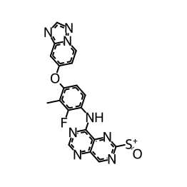 Cc1c(Oc2ccn3ncnc3c2)ccc(Nc2ncnc3cnc([S+]=O)nc23)c1F